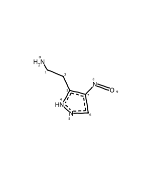 NCCc1[nH]ncc1N=O